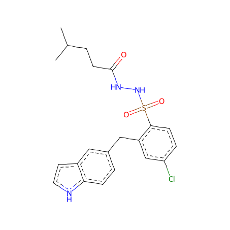 CC(C)CCC(=O)NNS(=O)(=O)c1ccc(Cl)cc1Cc1ccc2[nH]ccc2c1